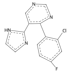 Fc1ccc(-c2ncncc2-c2ncc[nH]2)c(Cl)c1